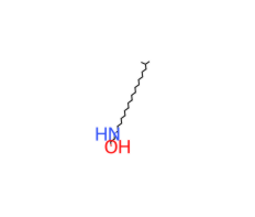 CC(C)CCCCCCCCCCCCCCCCCNCCO